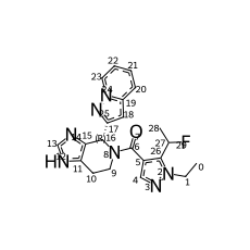 CCn1ncc(C(=O)N2CCc3[nH]cnc3[C@@H]2c2cc3ccccn3n2)c1C(C)F